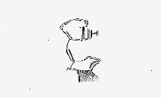 C1=CC(=Cc2ccc[nH]2)N=C1